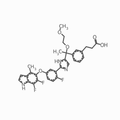 COCCOC(C)(c1cccc(CCC(=O)O)c1)c1cnc(-c2cc(Oc3c(F)c(F)c4[nH]ccc4c3C)ccc2F)[nH]1